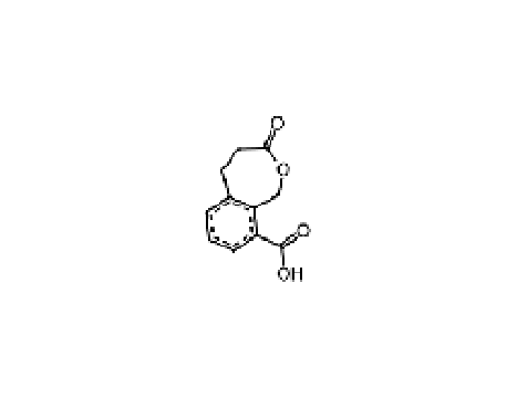 O=C1CCc2cccc(C(=O)O)c2CO1